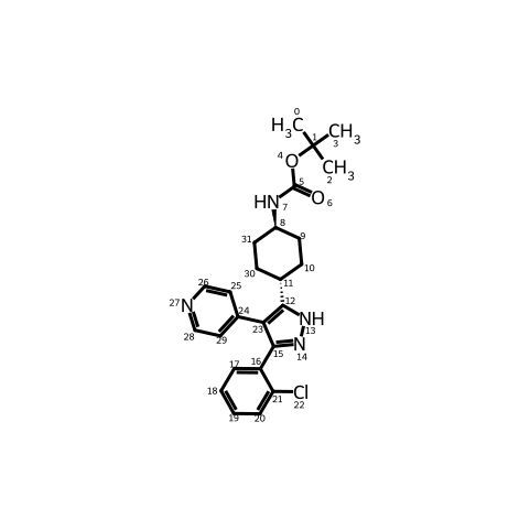 CC(C)(C)OC(=O)N[C@H]1CC[C@H](c2[nH]nc(-c3ccccc3Cl)c2-c2ccncc2)CC1